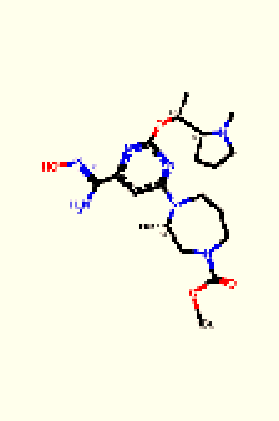 C[C@H](Oc1nc(/C(N)=N/O)cc(N2CCCN(C(=O)OC(C)(C)C)C[C@@H]2C)n1)[C@@H]1CCCN1C